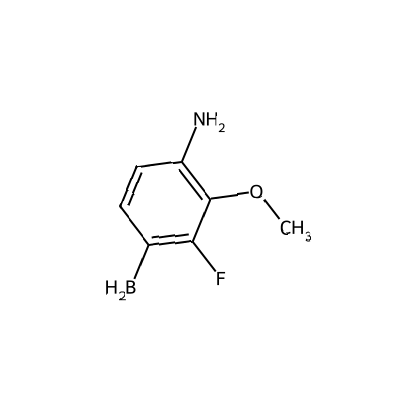 Bc1ccc(N)c(OC)c1F